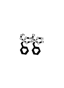 CCCO[Si](Cc1ccccc1)(OCCC)OCCC.CCO[Si](Cc1ccccc1)(OCC)OCC